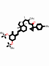 C=C1/C(=C\C=C2/CCC[C@]3(C)[C@@H]([C@H](C)C(CC(=O)C4(c5ccc(CCCC)cc5)CC4)OC(C)=O)CC[C@@H]23)C[C@@H](O[Si](C)(C)C(C)(C)C)C[C@@H]1O[Si](C)(C)C(C)(C)C